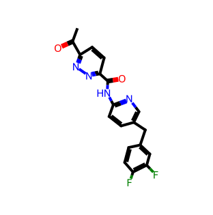 CC(=O)c1ccc(C(=O)Nc2ccc(Cc3ccc(F)c(F)c3)cn2)nn1